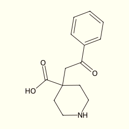 O=C(CC1(C(=O)O)CCNCC1)c1ccccc1